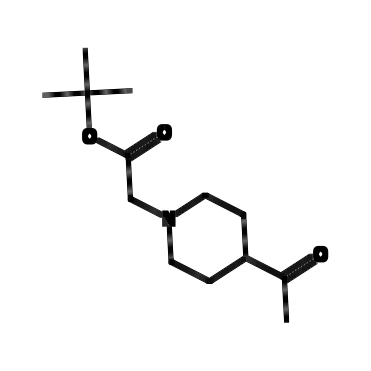 CC(=O)C1CCN(CC(=O)OC(C)(C)C)CC1